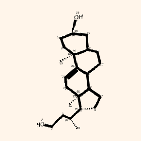 C[C@H](CCO)[C@H]1CCC2C3CCC4C[C@H](O)CC[C@]4(C)C3=CC[C@@]21C